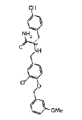 COc1cccc(COc2ccc(CN[C@@H](Cc3ccc(O)cc3)C(N)=O)cc2Cl)c1